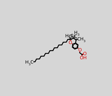 CCCCCCCCCCCCCCCCC[C@@]1(C)Oc2ccc(OCC(=O)O)cc2C(C)C1(C)C